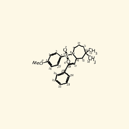 COc1ccc(S(=O)(=O)N2CCCC(C)(C)CC2C=Cc2ccccc2)cc1